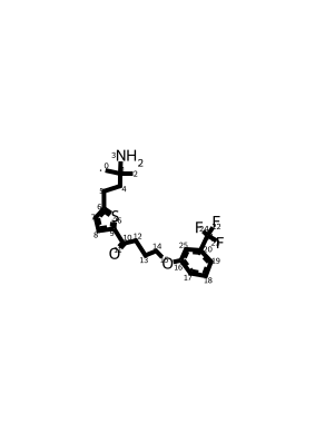 [CH2]C(C)(N)CCc1ccc(C(=O)CCCOc2cccc(C(F)(F)F)c2)s1